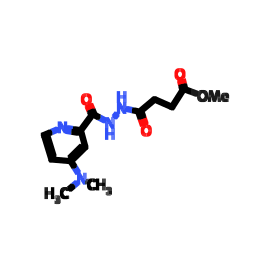 COC(=O)CCC(=O)NNC(=O)c1cc(N(C)C)ccn1